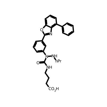 CCCNN(C(=O)NCCCC(=O)O)c1cccc(-c2nc3c(-c4ccccc4)cccc3o2)c1